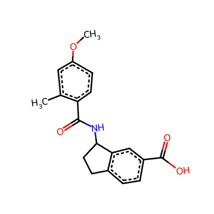 COc1ccc(C(=O)NC2CCc3ccc(C(=O)O)cc32)c(C)c1